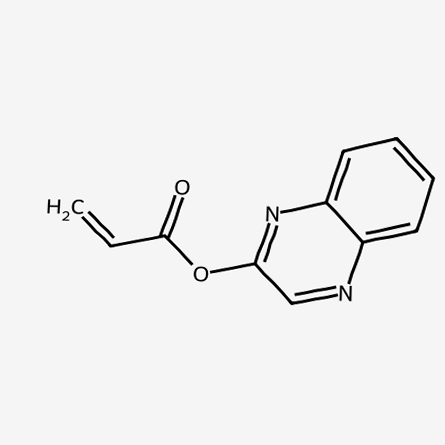 C=CC(=O)Oc1cnc2ccccc2n1